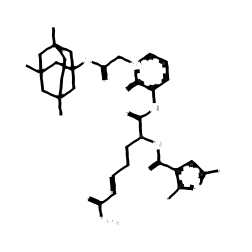 COC(=O)/C=C/CCC(NC(=O)c1cc(Cl)sc1Cl)C(=O)Nc1cccn(CC(=O)NC23CC4(C)CC(C)(CC(C)(C4)C2)C3)c1=O